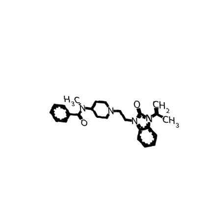 C=C(C)n1c(=O)n(CCN2CCC(N(C)C(=O)c3ccccc3)CC2)c2ccccc21